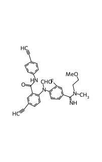 C#Cc1ccc(NC(=O)c2cc(C#C)ccc2N(C=O)c2ccc(C(=N)N(C)CCOC)cc2F)cc1